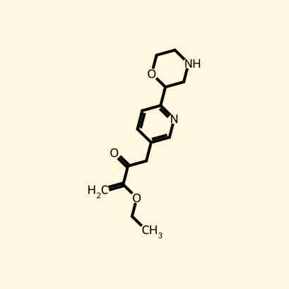 C=C(OCC)C(=O)Cc1ccc(C2CNCCO2)nc1